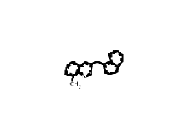 Cc1cccc2cc(Cc3cccc4ccccc34)cnc12